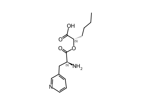 CCCC[C@H](OC(=O)[C@@H](N)Cc1cccnc1)C(=O)O